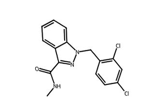 CNC(=O)c1nn(Cc2ccc(Cl)cc2Cl)c2ccccc12